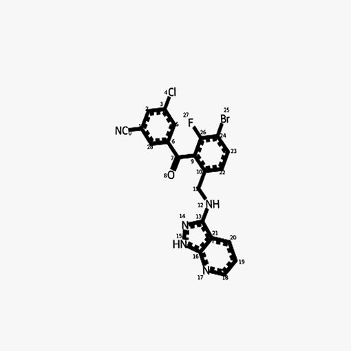 N#Cc1cc(Cl)cc(C(=O)c2c(CNc3n[nH]c4ncccc34)ccc(Br)c2F)c1